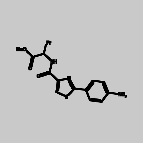 COC(=O)C(NC(=O)c1csc(-c2ccc([N+](=O)[O-])cc2)n1)C(C)C